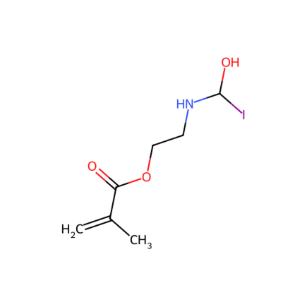 C=C(C)C(=O)OCCNC(O)I